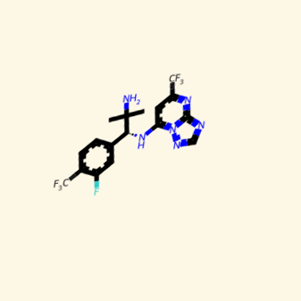 CC(C)(N)[C@H](Nc1cc(C(F)(F)F)nc2ncnn12)c1ccc(C(F)(F)F)c(F)c1